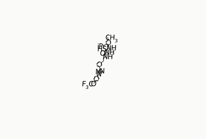 Cc1ccc(NC(S)NC(=O)NCCc2cccc(-c3ncn(-c4ccc(OC(F)(F)F)cc4)n3)c2)c(C(C)C)c1